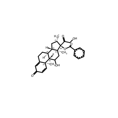 C[C@H]1C[C@H]2[C@@H]3CCC4=CC(=O)C=C[C@]4(C)[C@@]3(F)C(O)C[C@]2(C)[C@@]1(OC(=O)c1ccccc1)C(=O)CO